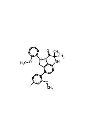 COc1cc(F)ccc1-c1ccc2c3c1CN(c1ccccc1OC)N3C(=O)C(C)(C)N2